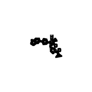 O=C(C1CC1)N1CC[C@@H](CN2C(=O)C3(CC3)NC2c2ccc(-c3ccc4c(c3)CCS4)cc2)C1